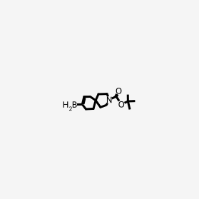 BC1=CCC2(CC1)CCN(C(=O)OC(C)(C)C)CC2